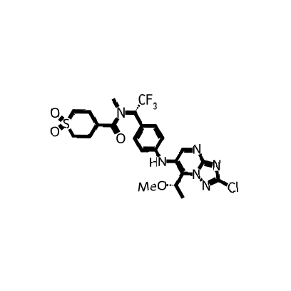 CO[C@@H](C)c1c(Nc2ccc([C@H](N(C)C(=O)C3CCS(=O)(=O)CC3)C(F)(F)F)cc2)cnc2nc(Cl)nn12